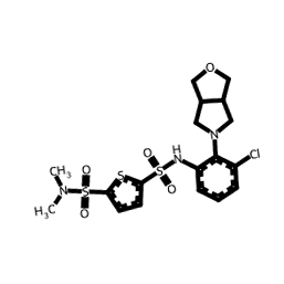 CN(C)S(=O)(=O)c1ccc(S(=O)(=O)Nc2cccc(Cl)c2N2CC3COCC3C2)s1